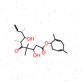 C=C[C@H](C)C(O)[C@@H](C)C(=O)C(C)(C)C(O)CC(=O)OC1CC=C(C)CC=C1C